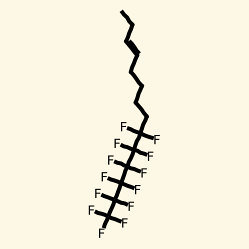 CCC=CCCCCC(F)(F)C(F)(F)C(F)(F)C(F)(F)C(F)(F)C(F)(F)F